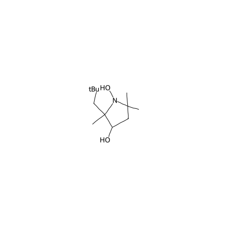 CC(C)(C)CC1(C)C(O)CC(C)(C)N1O